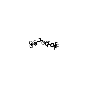 CCC(CCc1ccc(C(=O)OC)s1)COc1cc(C)c(-c2ccc(C(F)(F)F)cc2)c(C)c1